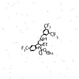 CCC1C(CNCc2cc(C(F)(F)F)cc(C(F)(F)F)c2)c2cc(C(F)(F)F)ccc2N1C(=O)OC(C)(C)C